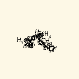 Cc1c(NC(=O)c2cc3c(s2)CCCCC3)cccc1-c1cn(C)c(=O)c(Nc2ccc(C(C(=O)N(C)CCO)N3CCOCC3)cc2)n1